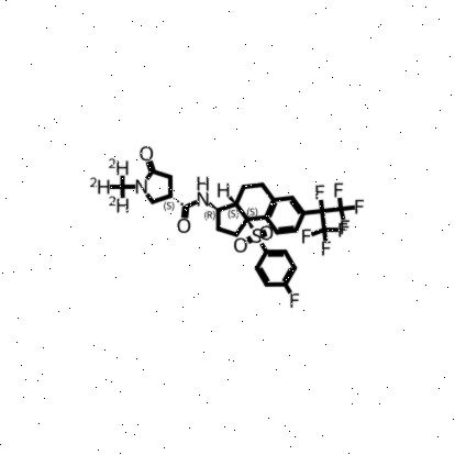 [2H]C([2H])([2H])N1C[C@@H](C(=O)N[C@@H]2CC[C@@]3(S(=O)(=O)c4ccc(F)cc4)c4ccc(C(F)(C(F)(F)F)C(F)(F)F)cc4CC[C@@H]23)CC1=O